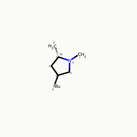 C[C@H]1CC(C(C)(C)C)CN1C